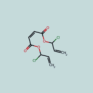 C=CC(Cl)OC(=O)/C=C\C(=O)OC(Cl)C=C